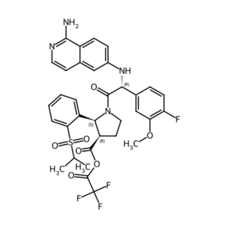 COc1cc([C@@H](Nc2ccc3c(N)nccc3c2)C(=O)N2CC[C@@H](C(=O)OC(=O)C(F)(F)F)[C@H]2c2ccccc2S(=O)(=O)C(C)C)ccc1F